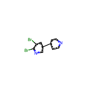 Brc1cc(-c2ccncc2)cnc1Br